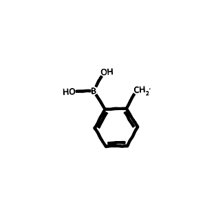 [CH2]c1ccccc1B(O)O